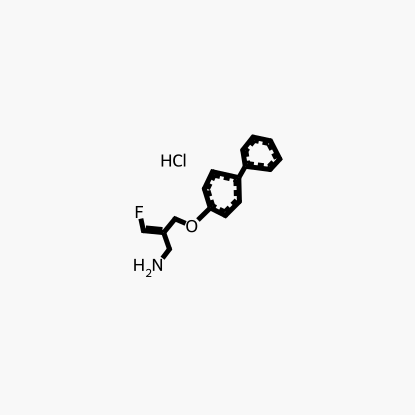 Cl.NC/C(=C/F)COc1ccc(-c2ccccc2)cc1